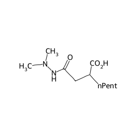 CCCCCC(CC(=O)NN(C)C)C(=O)O